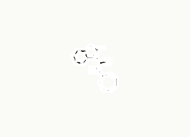 C[C@@H]1Cc2ccccc2N1C(=O)NC1CCCCCC1